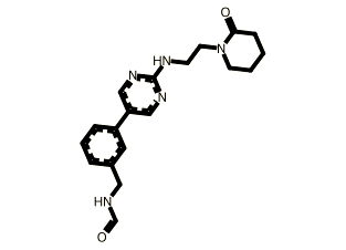 O=CNCc1cccc(-c2cnc(NCCN3CCCCC3=O)nc2)c1